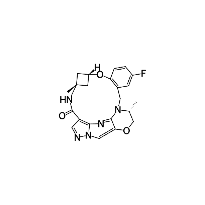 C[C@@H]1COc2cn3ncc4c3nc2N1Cc1cc(F)ccc1O[C@H]1C[C@](C)(C1)NC4=O